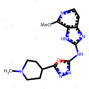 COc1nccc2nc(Nc3nnc(C4CCN(C)CC4)o3)[nH]c12